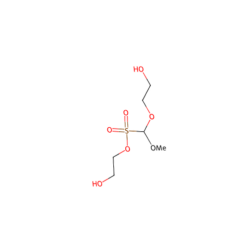 COC(OCCO)S(=O)(=O)OCCO